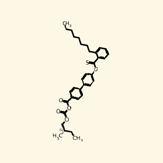 CCCCCCCCc1ccccc1C(=S)Oc1ccc(-c2ccc(C(=O)OC(=O)OC[C@@H](C)CC)cc2)cc1